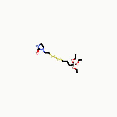 CCO[Si](CCCSSSSCCN1CCNC1=O)(OCC)OCC